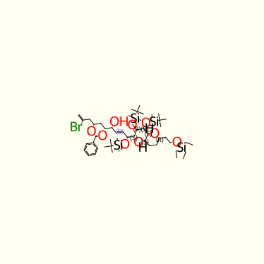 C=C(Br)CC(CCC(O)/C=C/C(O[Si](C)(C)C(C)(C)C)[C@@H]1O[C@H]2CC[C@H](CCO[Si](CC)(CC)CC)O[C@@H]2[C@H](O[Si](C)(C)C(C)(C)C)[C@@H]1O[Si](C)(C)C(C)(C)C)OC(=O)c1ccccc1